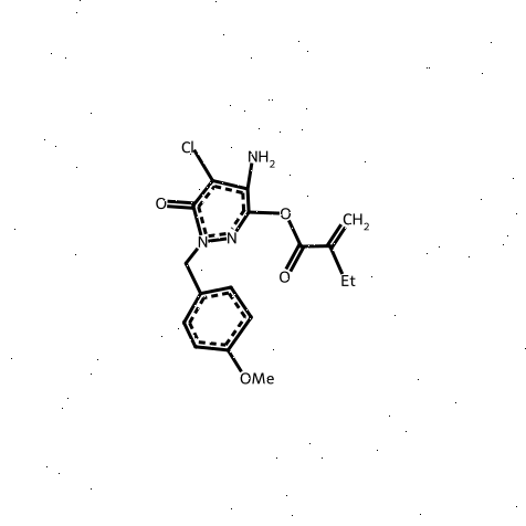 C=C(CC)C(=O)Oc1nn(Cc2ccc(OC)cc2)c(=O)c(Cl)c1N